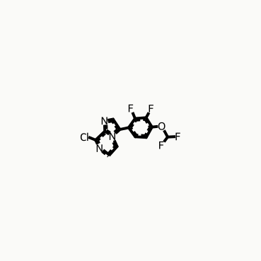 Fc1c(OC(F)F)ccc(-c2cnc3c(Cl)nccn23)c1F